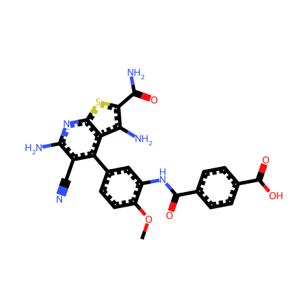 COc1ccc(-c2c(C#N)c(N)nc3sc(C(N)=O)c(N)c23)cc1NC(=O)c1ccc(C(=O)O)cc1